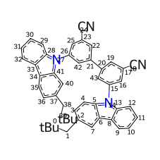 CC(C)(C)Cc1ccc2c(c1)c1ccccc1n2-c1cc(C#N)cc(-c2cc(C#N)cc(-n3c4ccccc4c4ccc(CC(C)(C)C)cc43)c2)c1